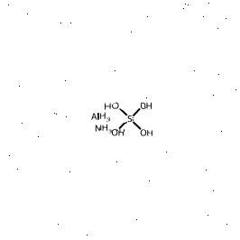 N.O[Si](O)(O)O.[AlH3]